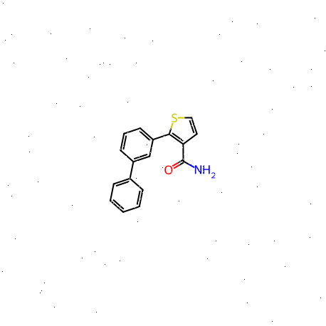 NC(=O)c1ccsc1-c1cccc(-c2ccccc2)c1